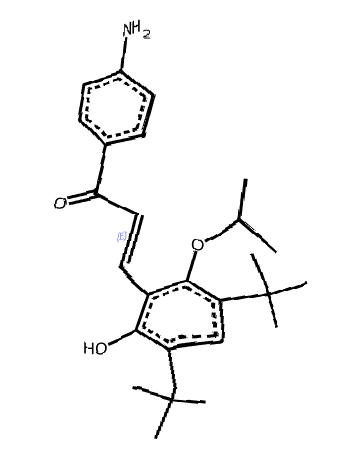 CC(C)Oc1c(C(C)(C)C)cc(C(C)(C)C)c(O)c1/C=C/C(=O)c1ccc(N)cc1